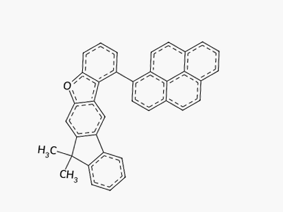 CC1(C)c2ccccc2-c2cc3c(cc21)oc1cccc(-c2ccc4ccc5cccc6ccc2c4c56)c13